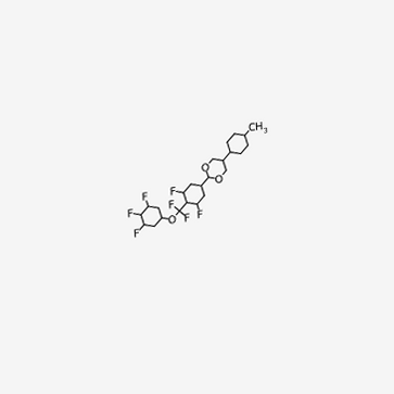 CC1CCC(C2COC(C3CC(F)C(C(F)(F)OC4CC(F)C(F)C(F)C4)C(F)C3)OC2)CC1